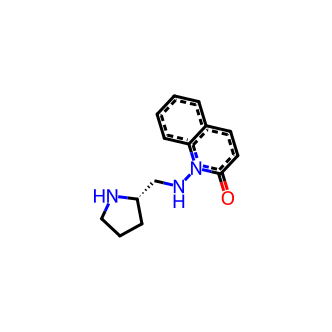 O=c1ccc2ccccc2n1NC[C@@H]1CCCN1